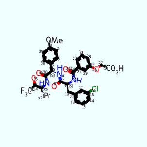 COc1ccc([C@H](NC(=O)[C@H](Cc2cccc(Cl)c2)NC(=O)c2cccc(OCC(=O)O)c2)C(=O)N[C@H](C(=O)C(F)(F)F)C(C)C)cc1